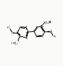 CCOc1ccc(-c2ccc(OCC)c(C(=O)O)c2)cc1C(=O)O